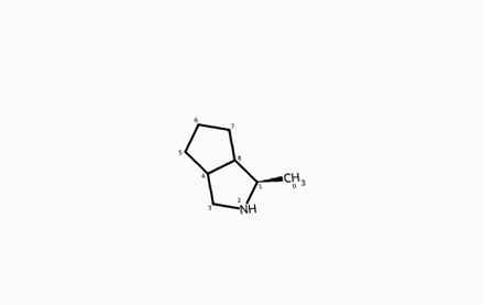 C[C@H]1NCC2CCCC21